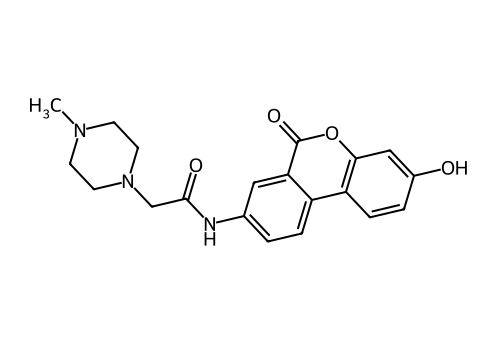 CN1CCN(CC(=O)Nc2ccc3c(c2)c(=O)oc2cc(O)ccc23)CC1